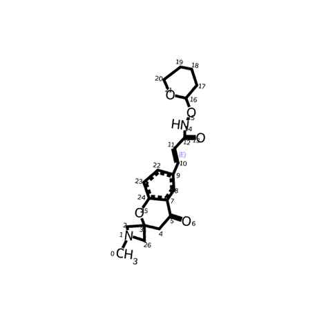 CN1CC2(CC(=O)c3cc(/C=C/C(=O)NOC4CCCCO4)ccc3O2)C1